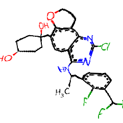 C[C@@H](Nc1nc(Cl)nc2c3c(c([C@]4(O)CC[C@@H](O)CC4)cc12)OCC3)c1cccc(C(F)F)c1F